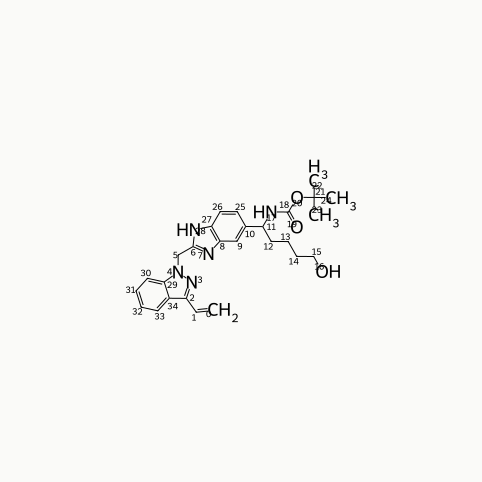 C=Cc1nn(Cc2nc3cc(C(CCCCO)NC(=O)OC(C)(C)C)ccc3[nH]2)c2ccccc12